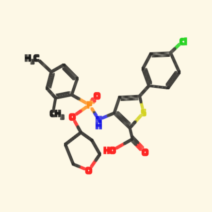 Cc1ccc(P(=O)(Nc2cc(-c3ccc(Cl)cc3)sc2C(=O)O)OC2CCOCC2)c(C)c1